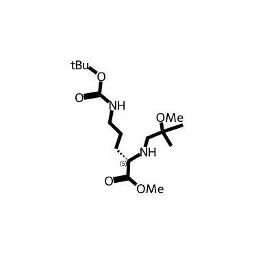 COC(=O)[C@H](CCCNC(=O)OC(C)(C)C)NCC(C)(C)OC